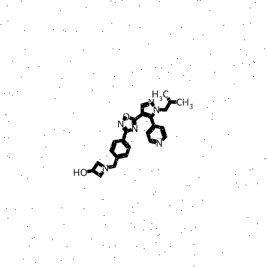 CC(C)Cn1ncc(-c2nc(-c3ccc(CN4CC(O)C4)cc3)no2)c1-c1ccncc1